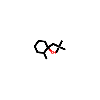 CC1CCCC[C@]1(O)C[Si](C)(C)C